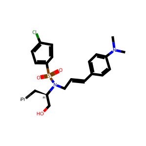 CC(C)C[C@H](CO)N(CC=Cc1ccc(N(C)C)cc1)S(=O)(=O)c1ccc(Cl)cc1